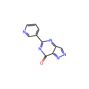 O=C1N=C(c2cccnc2)N=C2C=NN=C12